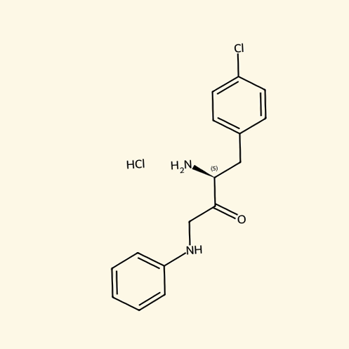 Cl.N[C@@H](Cc1ccc(Cl)cc1)C(=O)CNc1ccccc1